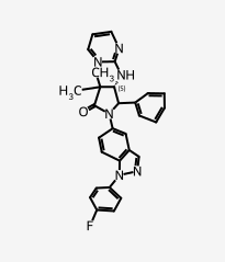 CC1(C)C(=O)N(c2ccc3c(cnn3-c3ccc(F)cc3)c2)C(c2ccccc2)[C@H]1Nc1ncccn1